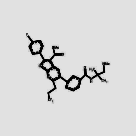 CNCC(C)(C)NC(=O)c1cccc(-c2cc3c(C(=O)NC)c(-c4ccc(F)cc4)oc3nc2CCC(F)(F)F)c1